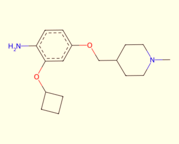 CN1CCC(COc2ccc(N)c(OC3CCC3)c2)CC1